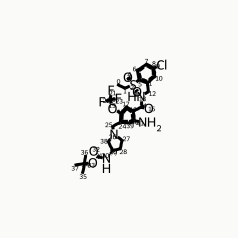 CCS(=O)(=O)c1ccc(Cl)cc1CNC(=O)c1cc(OC(F)(F)F)c(CN2CC[C@@H](NC(=O)OC(C)(C)C)C2)cc1N